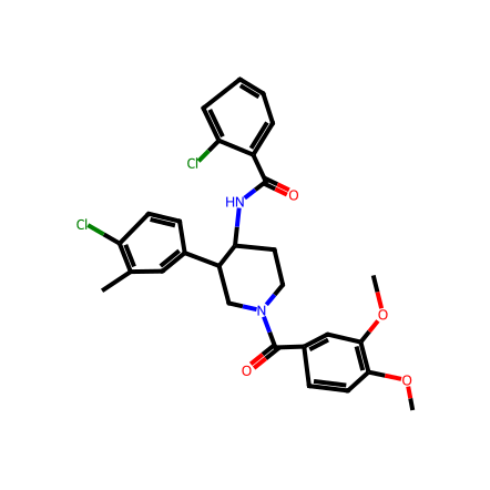 COc1ccc(C(=O)N2CCC(NC(=O)c3ccccc3Cl)C(c3ccc(Cl)c(C)c3)C2)cc1OC